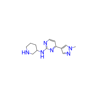 Cn1cc(-c2ccnc(NC3CCCNC3)n2)cn1